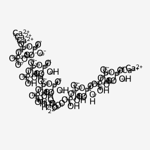 O.O.O.O.O.O=P(O)(O)OP(=O)([O-])OP(=O)(O)O.O=P(O)(O)OP(=O)([O-])OP(=O)(O)O.O=P(O)(O)OP(=O)([O-])OP(=O)(O)O.O=P([O-])(O)OP(=O)([O-])OP(=O)(O)O.O=P([O-])([O-])OP(=O)([O-])OP(=O)([O-])[O-].[Ca+2].[Ca+2].[Ca+2].[Ca+2].[Ca+2]